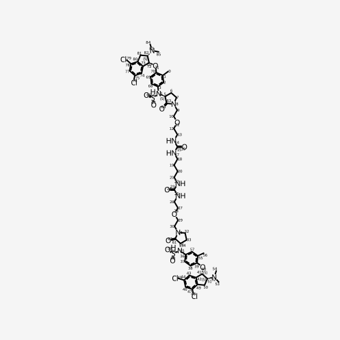 Cc1cc(N([C@H]2CCN(CCOCCNC(=O)NCCCCNC(=O)NCCOCCN3CC[C@H](N(c4ccc(O[C@H]5c6cc(Cl)cc(Cl)c6C[C@@H]5N(C)C)c(C)c4)[SH](=O)=O)C3=O)C2=O)[SH](=O)=O)ccc1O[C@H]1c2cc(Cl)cc(Cl)c2C[C@@H]1N(C)C